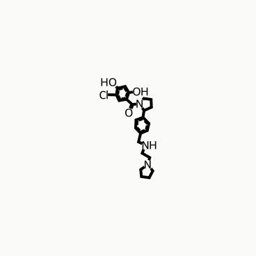 O=C(c1cc(Cl)c(O)cc1O)N1CCCC1c1ccc(CNCCN2CCCC2)cc1